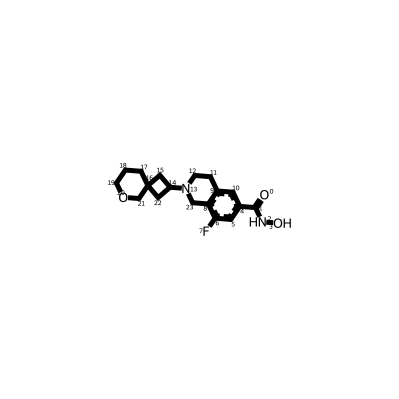 O=C(NO)c1cc(F)c2c(c1)CCN(C1CC3(CCCOC3)C1)C2